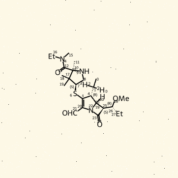 [2H]C([2H])(C)[C@H]1C(S[C@@H]2CN[C@](C)(C(=O)N(C)CC)C2(C)C)=C(C=O)N2C(=O)[C@H]([C@@H](CC)OC)[C@@H]12